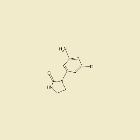 Nc1cc(Cl)cc(N2CCNC2=O)c1